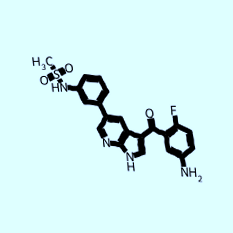 CS(=O)(=O)Nc1cccc(-c2cnc3[nH]cc(C(=O)c4cc(N)ccc4F)c3c2)c1